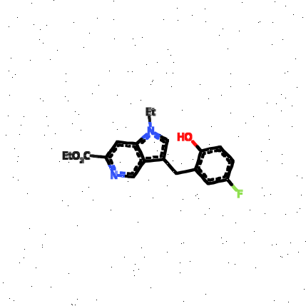 CCOC(=O)c1cc2c(cn1)c(Cc1cc(F)ccc1O)cn2CC